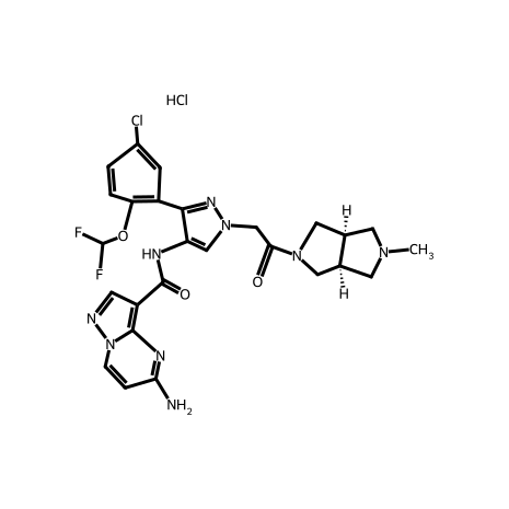 CN1C[C@@H]2CN(C(=O)Cn3cc(NC(=O)c4cnn5ccc(N)nc45)c(-c4cc(Cl)ccc4OC(F)F)n3)C[C@@H]2C1.Cl